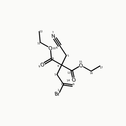 C=C(Br)CC(CC#N)(C(=O)OCC)C(=O)OCC